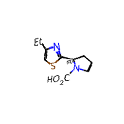 CCc1csc([C@H]2CCCN2C(=O)O)n1